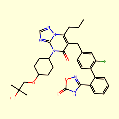 CCCc1c(Cc2ccc(-c3ccccc3-c3noc(=O)[nH]3)c(F)c2)c(=O)n(C2CCC(OCC(C)(C)O)CC2)c2ncnn12